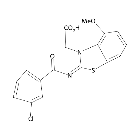 COc1cccc2sc(=NC(=O)c3cccc(Cl)c3)n(CC(=O)O)c12